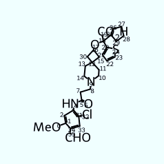 COc1cc(NC(=O)CCN2CCC3(CC2)CC(OC(C(=O)O)(c2cccs2)C2CCCC2)C3)c(Cl)cc1C=O